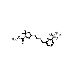 CC(C)(C)OC(=O)N1C[C@@H](CCCCc2cccc(S(N)(=O)=O)n2)CC1(C)C